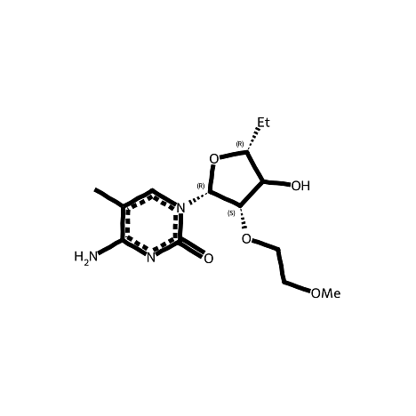 CC[C@H]1O[C@@H](n2cc(C)c(N)nc2=O)[C@@H](OCCOC)C1O